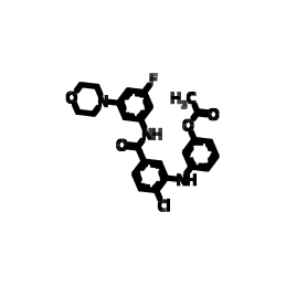 CC(=O)Oc1cccc(Nc2cc(C(=O)Nc3cc(F)cc(N4CCOCC4)c3)ccc2Cl)c1